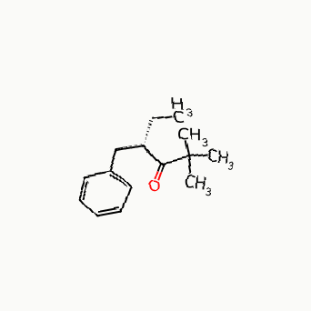 CC[C@@H](Cc1ccccc1)C(=O)C(C)(C)C